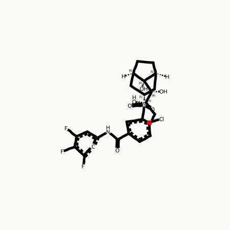 O=C(Nc1cc(F)c(F)c(F)c1)c1ccc(Cl)c(S(=O)(=O)[C@@H]2C[C@H]3CC[C@@H](C2)[C@@]3(O)[C@H](O)[C@@H](O)CO)c1